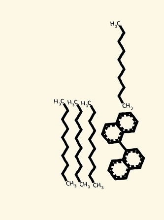 CCCCCCCCCC.CCCCCCCCCC.CCCCCCCCCC.CCCCCCCCCC.c1ccc2c(-c3cccc4ccccc34)cccc2c1